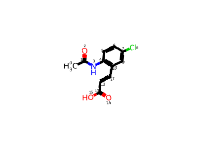 CC(=O)Nc1ccc(Cl)cc1C=CC(=O)O